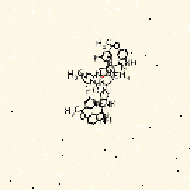 CC(Oc1ccc2[nH]nc(-c3nc4c([nH]3)CN(C3CN(C)CCN3C(=O)N3CCN(C)CC3N3Cc5nc(-c6n[nH]c7ccc(OC(C)c8cc(F)cc(F)c8)cc67)[nH]c5C3)C4)c2c1)c1cc(F)cc(F)c1